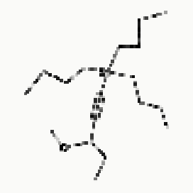 CCC[CH2][Sn]([C]#CC(CC)OC)([CH2]CCC)[CH2]CCC